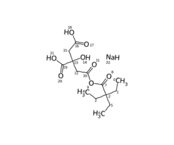 CCC(CC)(CC)C(=O)OC(=O)CC(O)(CC(=O)O)C(=O)O.[NaH]